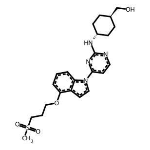 CS(=O)(=O)CCCOc1cccc2c1ccn2-c1ccnc(N[C@H]2CC[C@H](CO)CC2)n1